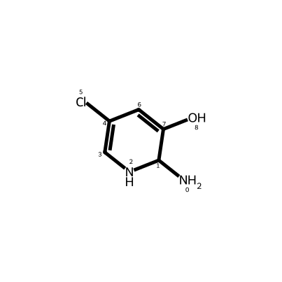 NC1NC=C(Cl)C=C1O